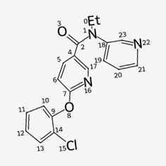 CCN(C(=O)c1ccc(Oc2ccccc2Cl)nc1)c1cccnc1